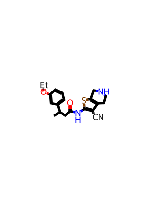 CCOc1cccc(C(C)CC(=O)Nc2sc3c(c2C#N)CCNC3)c1